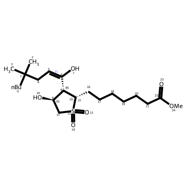 CCCCC(C)(C)C/C=C(/O)[C@H]1[C@H](O)CS(=O)(=O)[C@H]1CCCCCCC(=O)OC